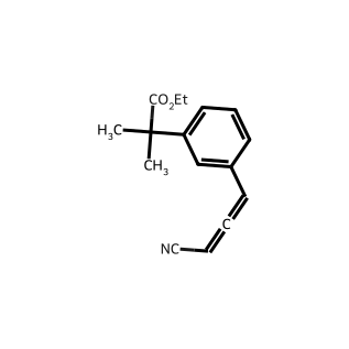 CCOC(=O)C(C)(C)c1cccc(C=C=CC#N)c1